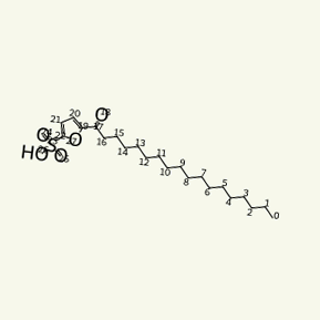 CCCCCCCCCCCCCCCCCC(=O)c1ccc(S(=O)(=O)O)o1